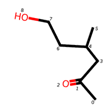 CC(=O)CC(C)CCO